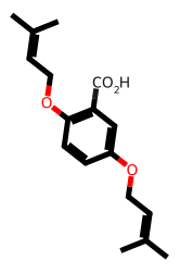 CC(C)=CCOc1ccc(OCC=C(C)C)c(C(=O)O)c1